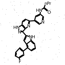 CCCC(=O)Nc1cncc(-c2ccc3[nH]nc(-c4cc5c(-c6cccc(F)c6)cccc5[nH]4)c3n2)c1